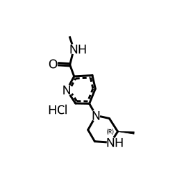 CNC(=O)c1ccc(N2CCN[C@H](C)C2)cn1.Cl